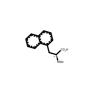 CN[C@@H](Cc1cccc2ccccc12)C(=O)O